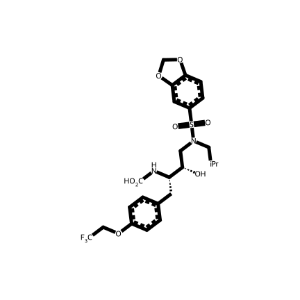 CC(C)CN(C[C@H](O)[C@H](Cc1ccc(OCC(F)(F)F)cc1)NC(=O)O)S(=O)(=O)c1ccc2c(c1)OCO2